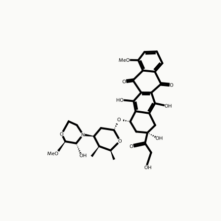 COc1cccc2c1C(=O)c1c(O)c3c(c(O)c1C2=O)C[C@@](O)(C(=O)CO)C[C@@H]3O[C@H]1C[C@H](N2CCO[C@H](OC)[C@H]2O)[C@H](C)[C@H](C)O1